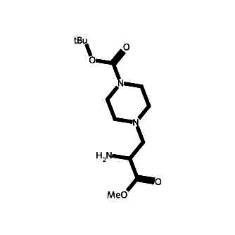 COC(=O)C(N)CN1CCN(C(=O)OC(C)(C)C)CC1